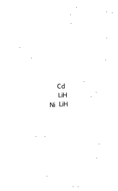 [Cd].[LiH].[LiH].[Ni]